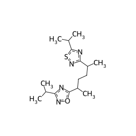 CC(C)c1noc(C(C)CCC(C)c2nsc(C(C)C)n2)n1